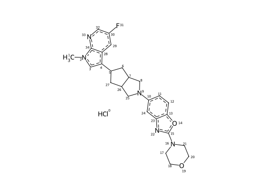 Cl.Cn1cc(C2CC3CN(c4ccc5oc(N6CCOCC6)nc5c4)CC3C2)c2cc(F)cnc21